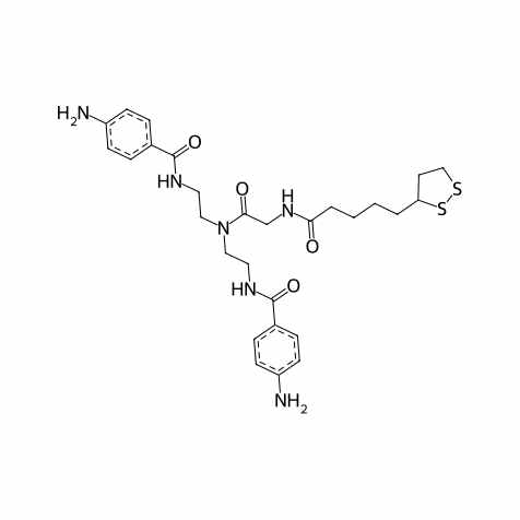 Nc1ccc(C(=O)NCCN(CCNC(=O)c2ccc(N)cc2)C(=O)CNC(=O)CCCCC2CCSS2)cc1